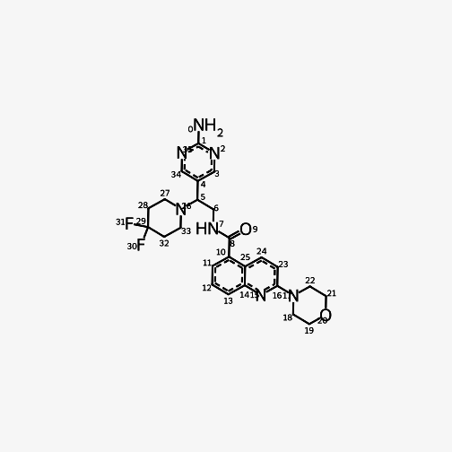 Nc1ncc(C(CNC(=O)c2cccc3nc(N4CCOCC4)ccc23)N2CCC(F)(F)CC2)cn1